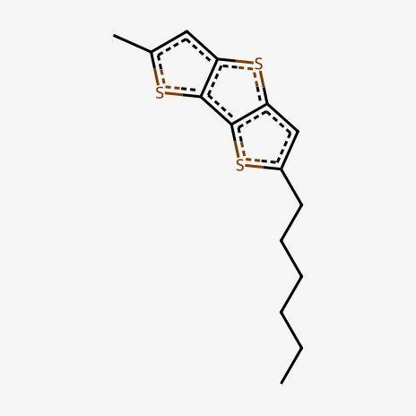 CCCCCCc1cc2sc3cc(C)sc3c2s1